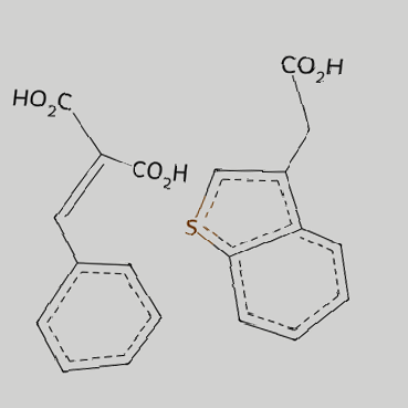 O=C(O)C(=Cc1ccccc1)C(=O)O.O=C(O)Cc1csc2ccccc12